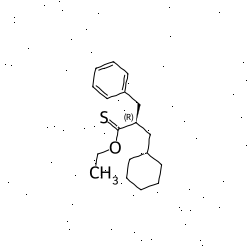 CCOC(=S)[C@@H](Cc1ccccc1)CC1CCCCC1